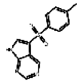 Cc1ccc(S(=O)(=O)c2c[nH]c3ncncc23)cc1